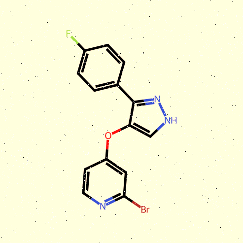 Fc1ccc(-c2n[nH]cc2Oc2ccnc(Br)c2)cc1